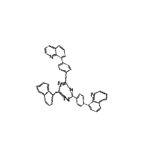 c1ccc2c(-c3nc(-c4ccc(-c5cccc6cccnc56)cc4)nc(-c4ccc(-c5cccc6cccnc56)cc4)n3)cccc2c1